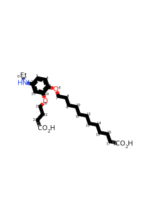 CCNc1ccc(OCCCCCCCCCCCC(=O)O)c(OCCCC(=O)O)c1